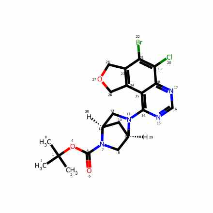 CC(C)(C)OC(=O)N1C[C@H]2C[C@@H]1CN2c1ncnc2c(Cl)c(Br)c3c(c12)COC3